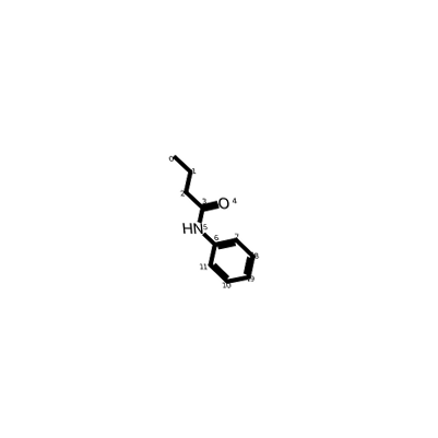 CCCC(=O)Nc1c[c][c]cc1